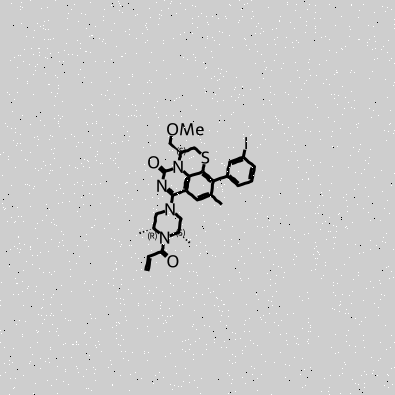 C=CC(=O)N1[C@H](C)CN(c2nc(=O)n3c4c(c(-c5cccc(I)c5)c(C)cc24)SC[C@@H]3COC)C[C@@H]1C